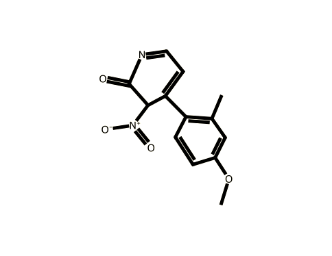 COc1ccc(C2=CC=NC(=O)C2[N+](=O)[O-])c(C)c1